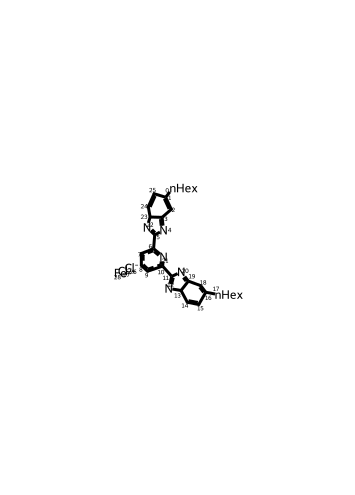 CCCCCCC1=CC2=NC(c3cccc(C4=NC5C=CC(CCCCCC)=CC5=N4)n3)=NC2C=C1.[Cl-].[Cl-].[Fe+2]